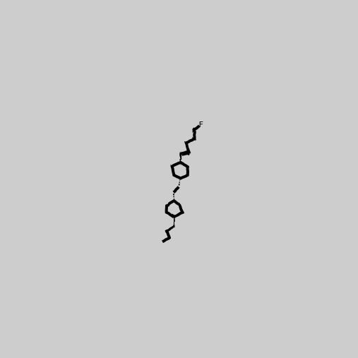 CCCC[C@H]1CC[C@H](CC[C@H]2CC[C@H](C=CCCCF)CC2)CC1